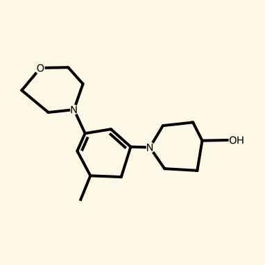 CC1C=C(N2CCOCC2)C=C(N2CCC(O)CC2)C1